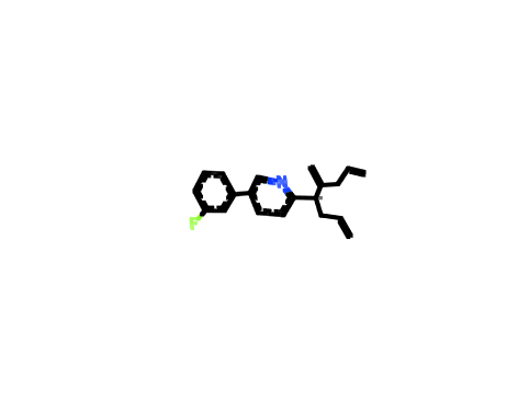 C=CC[C](C(=C)CC=C)c1ccc(-c2cccc(F)c2)cn1